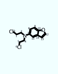 ClCCN(CCCl)c1ccc2occc2c1